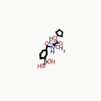 CC(C)(NC(=O)c1cccc(B(O)O)c1)C(=O)OC1CCCC1